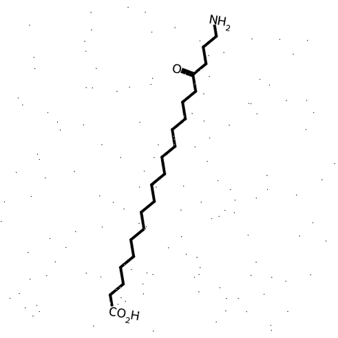 NCCCC(=O)CCCCCCCCCCCCCCCCC(=O)O